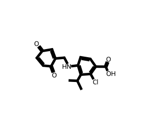 CC(C)c1c(NCC2=CC(=O)C=CC2=O)ccc(C(=O)O)c1Cl